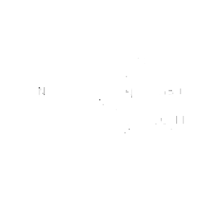 CCCC[C@H](C(=O)O)n1c(=O)c2ccccc2n(Cc2cn(C)c3cccc(C)c23)c1=O